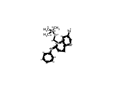 [2H]c1cnc2cc/c(=N\c3ccccc3)n(CO[Si](C)(C)C)c2c1